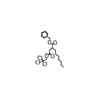 CCCCCCCC(CC(=O)OCC(Cl)(Cl)Cl)C(=O)OCc1ccccc1